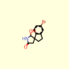 O=C1CC2(CCc3cc(Br)ccc32)C(O)N1